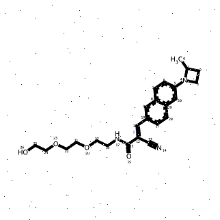 CC1CCN1c1ccc2cc(/C=C(\C#N)C(=O)NCCOCCOCCO)ccc2c1